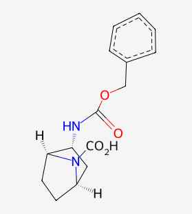 O=C(N[C@@H]1C[C@H]2CC[C@@H]1N2C(=O)O)OCc1ccccc1